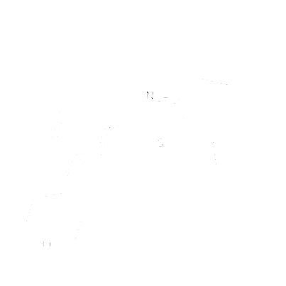 CCCc1nc(-c2cccc(C3=CCOCC3)c2C)sc1CC